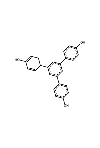 OC1=CCC(c2cc(-c3ccc(O)cc3)cc(-c3ccc(O)cc3)c2)C=C1